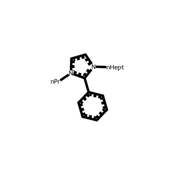 CCCCCCCn1cc[n+](CCC)c1-c1ccccc1